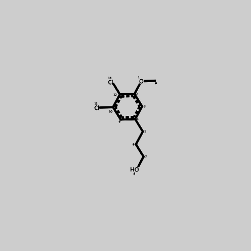 COc1cc(CCCO)cc(Cl)c1Cl